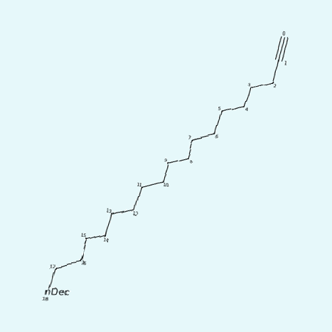 [C]#CCCCCCCCCCCCCCCCCCCCCCCCCC[CH2]